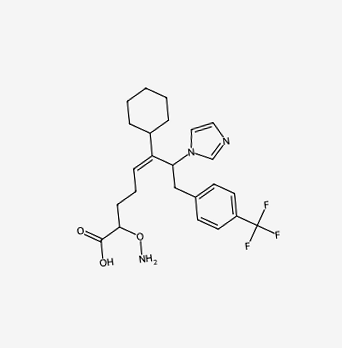 NOC(CC/C=C(/C1CCCCC1)C(Cc1ccc(C(F)(F)F)cc1)n1ccnc1)C(=O)O